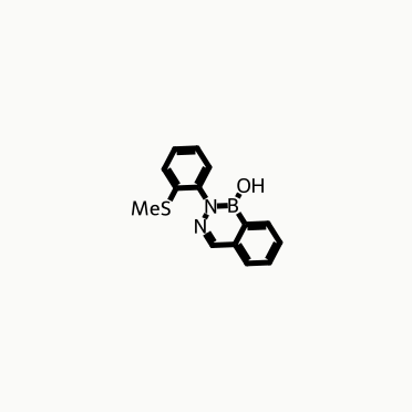 CSc1ccccc1N1N=Cc2ccccc2B1O